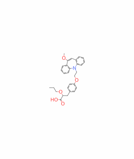 CCCOC(Cc1ccc(OCCN2c3ccccc3C=C(OC)c3ccccc32)cc1)C(=O)O